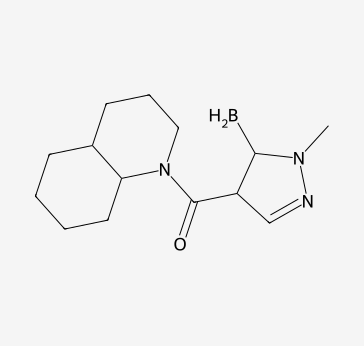 BC1C(C(=O)N2CCCC3CCCCC32)C=NN1C